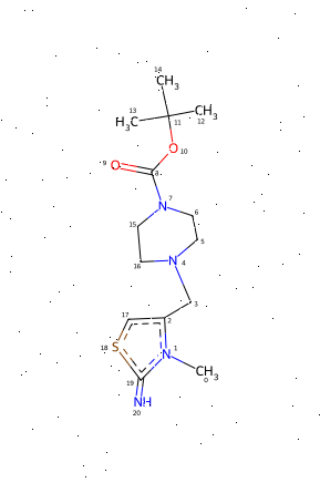 Cn1c(CN2CCN(C(=O)OC(C)(C)C)CC2)csc1=N